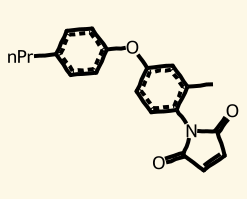 CCCc1ccc(Oc2ccc(N3C(=O)C=CC3=O)c(C)c2)cc1